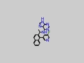 CC(NC1N=CN=C2NC=NC21)c1ccc2ccccc2c1-c1cncc(F)c1